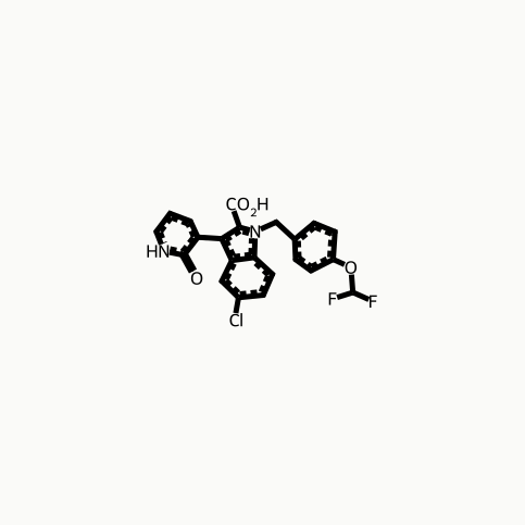 O=C(O)c1c(-c2ccc[nH]c2=O)c2cc(Cl)ccc2n1Cc1ccc(OC(F)F)cc1